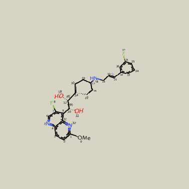 COc1ccc2ncc(F)c([C@@H](O)[C@H](O)[C@H]3CC[C@H](NC/C=C/c4cccc(F)c4)CC3)c2n1